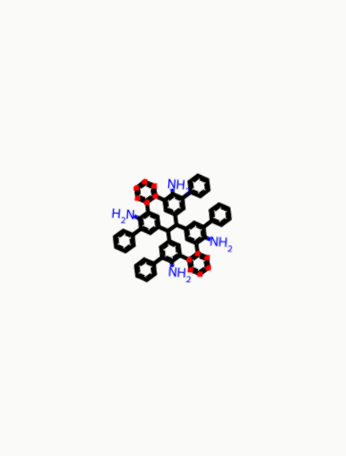 Nc1c(-c2ccccc2)cc(C(c2cc(-c3ccccc3)c(N)c(-c3ccccc3)c2)C(c2cc(-c3ccccc3)c(N)c(-c3ccccc3)c2)c2cc(-c3ccccc3)c(N)c(-c3ccccc3)c2)cc1-c1ccccc1